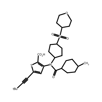 CC1CCC(C(=O)N(c2cc(C#CC(C)(C)C)sc2C(=O)O)C2CCC(S(=O)(=O)C3CCOCC3)CC2)CC1